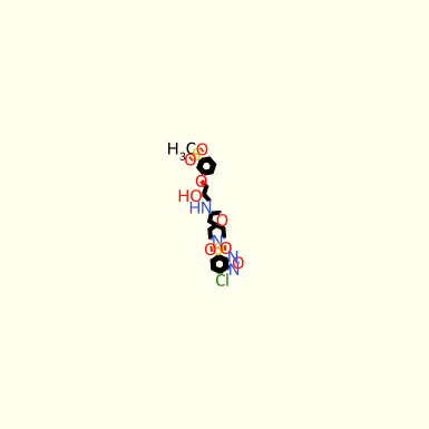 CS(=O)(=O)c1cccc(OCC(O)CNC2COC3(CCN(S(=O)(=O)c4ccc(Cl)c5nonc45)CC3)C2)c1